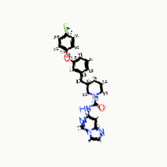 O=C(Nc1cc2nccn2cn1)N1CCCC(Cc2cccc(Oc3ccc(F)cc3)c2)C1